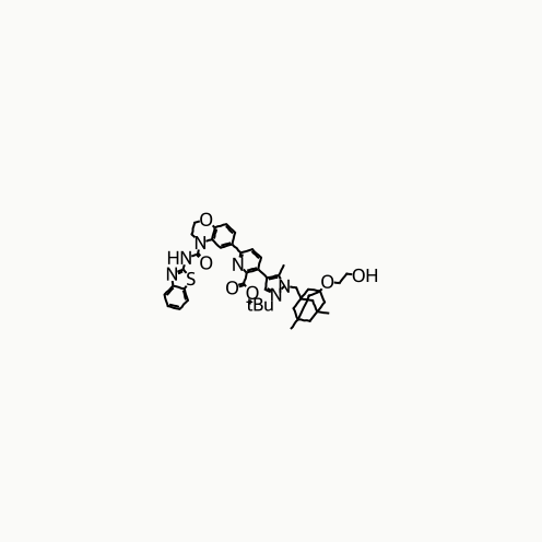 Cc1c(-c2ccc(-c3ccc4c(c3)N(C(=O)Nc3nc5ccccc5s3)CCO4)nc2C(=O)OC(C)(C)C)cnn1CC12CC3(C)CC(C)(C1)CC(OCCO)(C3)C2